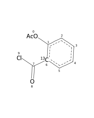 CC(=O)Oc1cccc[13c]1C(=O)Cl